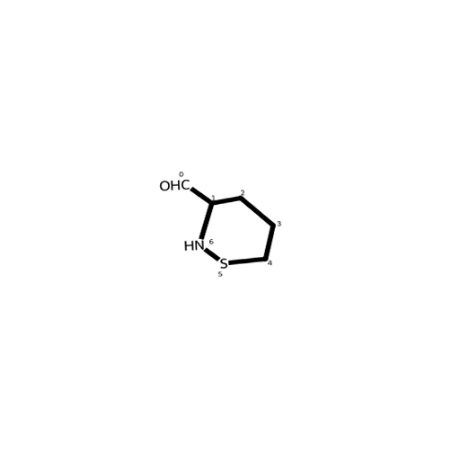 O=CC1CCCSN1